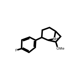 COC1CC2CCC(c3ccc(F)cc3)C1N2